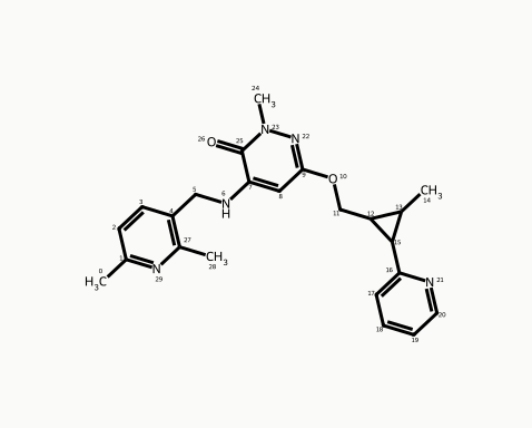 Cc1ccc(CNc2cc(OCC3C(C)C3c3ccccn3)nn(C)c2=O)c(C)n1